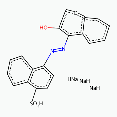 O=S(=O)(O)c1ccc(N=Nc2c(O)ccc3ccccc23)c2ccccc12.[NaH].[NaH].[NaH]